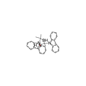 CC(C)(BC(C)(N)n1c2ccccc2c2ccccc21)n1c2ccccc2c2ccccc21